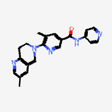 Cc1cnc2c(c1)CN(c1ncc(C(=O)Nc3ccncc3)cc1C)CC2